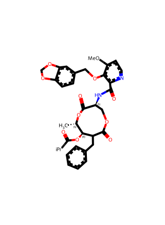 COc1ccnc(C(=O)N[C@H]2COC(=O)C(Cc3ccccc3)[C@@H](OC(=O)C(C)C)[C@H](C)OC2=O)c1OCc1ccc2c(c1)OCO2